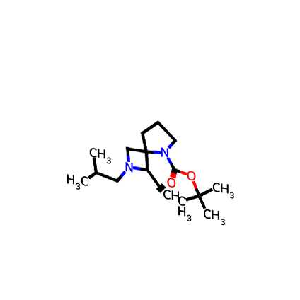 C#CC1N(CC(C)C)CC12CCCN2C(=O)OC(C)(C)C